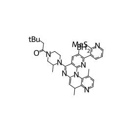 Bc1cc2c(nc1-c1cccnc1SC)N1C(=CC(C)c3nccc(C)c31)N=C2N1CCN(C(=O)CC(C)(C)C)CC1C